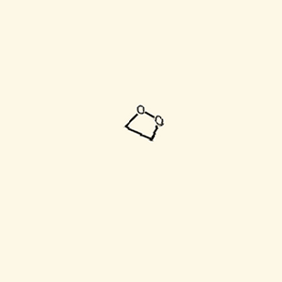 C1COO1